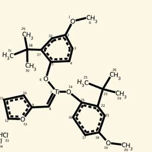 COc1ccc([O][Ti](=[CH]c2ccco2)[O]c2ccc(OC)cc2C(C)(C)C)c(C(C)(C)C)c1.Cl.Cl